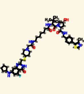 Cc1ncsc1-c1ccc(CNC(=O)[C@@H]2C[C@@H](O)CN2C(=O)[C@@H](NC(=O)CCCCCCNC(=O)CN2CCC(SCc3nc4cc(NC5CCCC5)cc(F)c4c(=O)[nH]3)CC2)C(C)(C)C)cc1